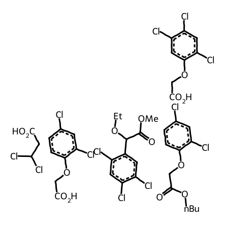 CCCCOC(=O)COc1ccc(Cl)cc1Cl.CCOC(C(=O)OC)c1cc(Cl)c(Cl)cc1Cl.O=C(O)CC(Cl)Cl.O=C(O)COc1cc(Cl)c(Cl)cc1Cl.O=C(O)COc1ccc(Cl)cc1Cl